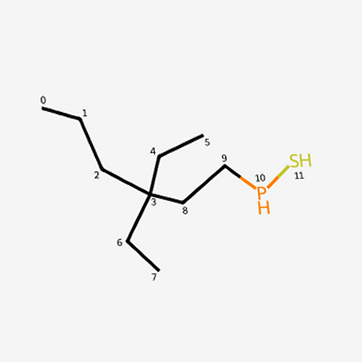 CCCC(CC)(CC)CCPS